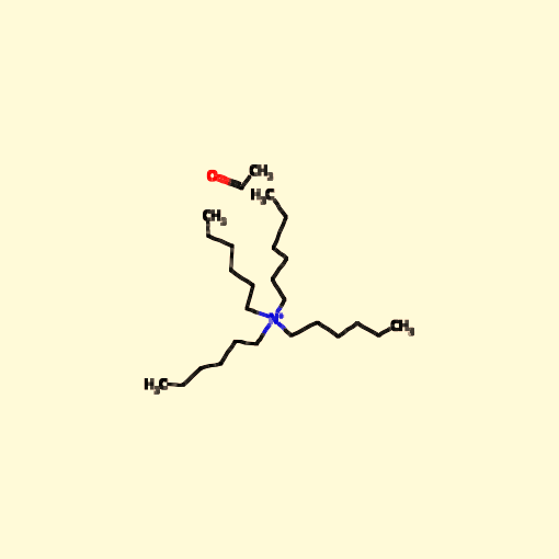 CC=O.CCCCCC[N+](CCCCCC)(CCCCCC)CCCCCC